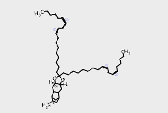 CCCCC/C=C\C/C=C\CCCCCCCCC1(CCCCCCCC/C=C\C/C=C\CCCCC)O[C@H]2CC3C(C[C@H]2O1)C1CC3[C@H](N)C1